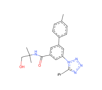 Cc1ccc(-c2cc(C(=O)NC(C)(C)CO)cc(-n3nnnc3C(C)C)c2)cc1